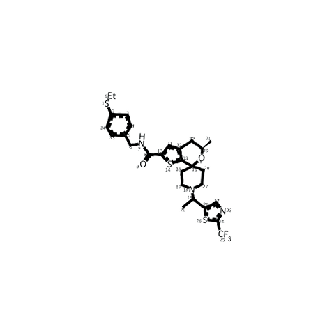 CCSc1ccc(CNC(=O)c2cc3c(s2)C2(CCN(C(C)c4cnc(C(F)(F)F)s4)CC2)O[C@H](C)C3)cc1